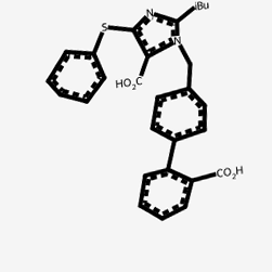 CCC(C)c1nc(Sc2ccccc2)c(C(=O)O)n1Cc1ccc(-c2ccccc2C(=O)O)cc1